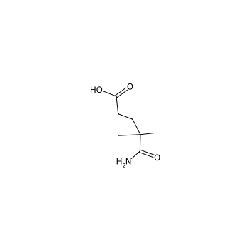 CC(C)(CCC(=O)O)C(N)=O